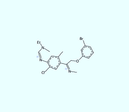 CCN(C)/C=N\c1cc(C)c(/C(COc2cccc(Br)c2)=N/C)cc1Cl